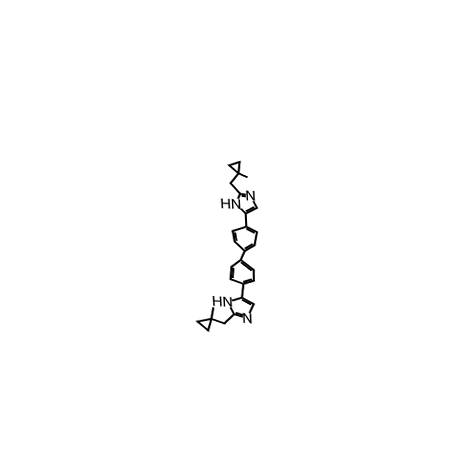 CC1(Cc2ncc(-c3ccc(-c4ccc(-c5cnc(CC6(C)CC6)[nH]5)cc4)cc3)[nH]2)CC1